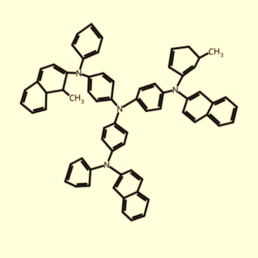 CC1C=C(N(c2ccc(N(c3ccc(N(C4=CC=C5C=CC=CC5C4C)c4ccccc4)cc3)c3ccc(N(c4ccccc4)c4ccc5ccccc5c4)cc3)cc2)c2ccc3ccccc3c2)C=CC1